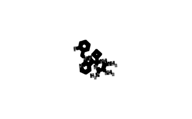 NC1=NC(c2nn(Cc3ccccc3F)c3ncccc23)(C2CCC2)NC(N)=C1N